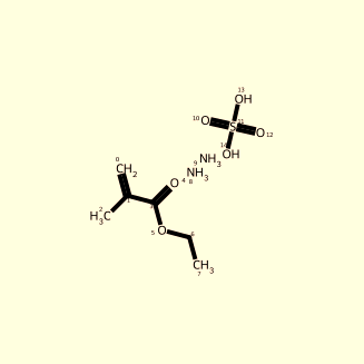 C=C(C)C(=O)OCC.N.N.O=S(=O)(O)O